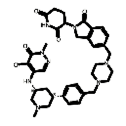 CN1C[C@H](Nc2cnn(C)c(=O)c2Cl)C[C@H](c2ccc(CN3CCN(Cc4ccc5c(c4)CN(C4CCC(=O)NC4=O)C5=O)CC3)cc2)C1